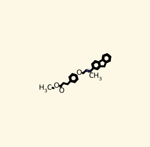 CCOC(=O)CCc1ccc(OC/C=C(\C)c2ccc3c(c2)Cc2ccccc2-3)cc1